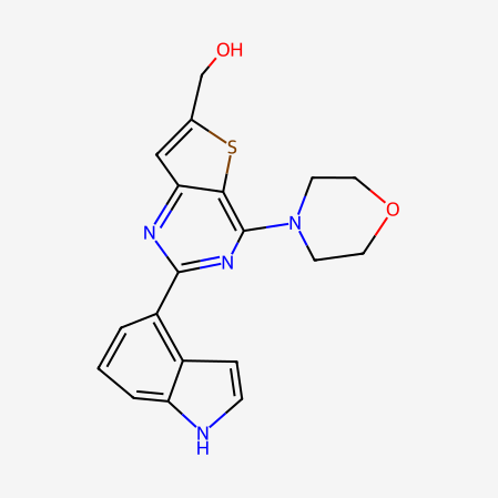 OCc1cc2nc(-c3cccc4[nH]ccc34)nc(N3CCOCC3)c2s1